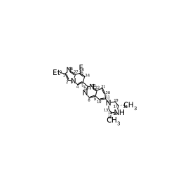 CCc1cn2cc(-c3ncc4cc(N5C[C@@H](C)N[C@@H](C)C5)ccc4n3)cc(F)c2n1